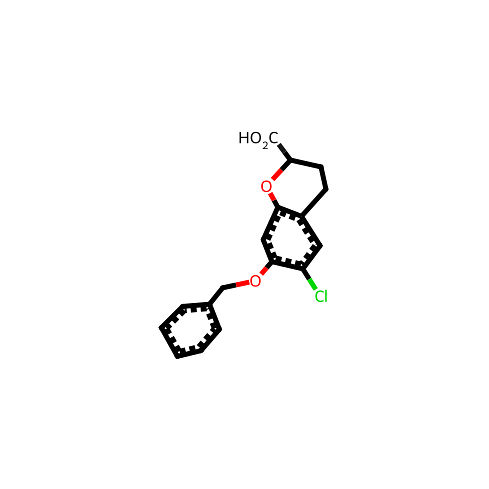 O=C(O)C1CCc2cc(Cl)c(OCc3ccccc3)cc2O1